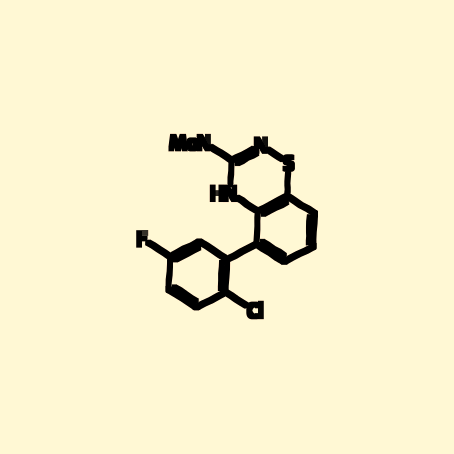 CNC1=NSc2cccc(-c3cc(F)ccc3Cl)c2N1